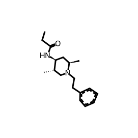 CCC(=O)N[C@H]1C[C@@H](C)N(CCc2ccccc2)C[C@@H]1C